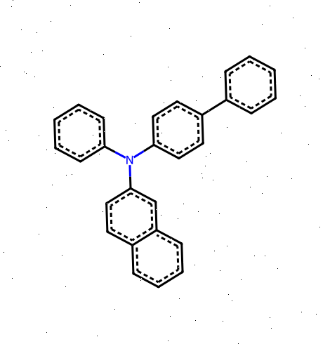 c1ccc(-c2ccc(N(c3ccccc3)c3ccc4ccccc4c3)cc2)cc1